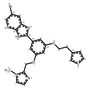 Cn1ccnc1COc1cc(OCCc2ccsc2)cc(-c2nc3cc(Br)cnc3[nH]2)c1